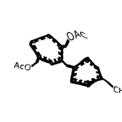 CC(=O)Oc1ccc(OC(C)=O)c(-c2ccc(C)cc2)c1